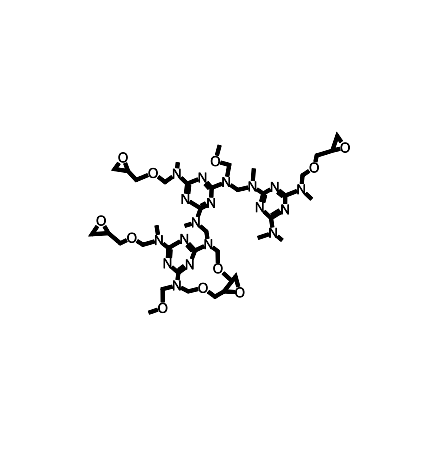 COCN(CN(C)c1nc(N(C)C)nc(N(C)COCC2CO2)n1)c1nc(N(C)COCC2CO2)nc(N(C)CN(COC)c2nc(N(C)COCC3CO3)nc(N(COC)COCC3CO3)n2)n1